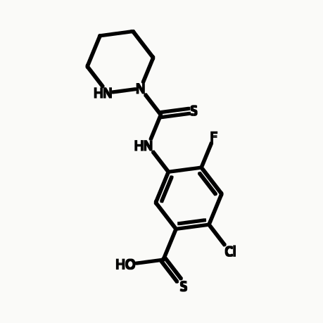 OC(=S)c1cc(NC(=S)N2CCCCN2)c(F)cc1Cl